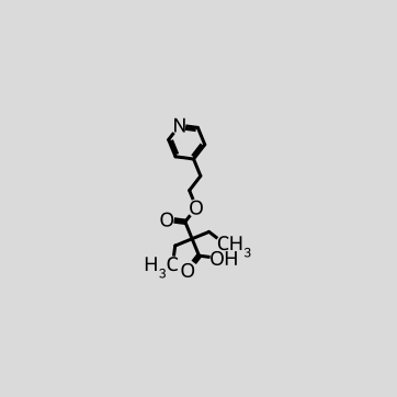 CCC(CC)(C(=O)O)C(=O)OCCc1ccncc1